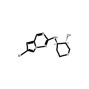 O[C@@H]1COCC[C@H]1Nc1ncc2cc(Br)cn2n1